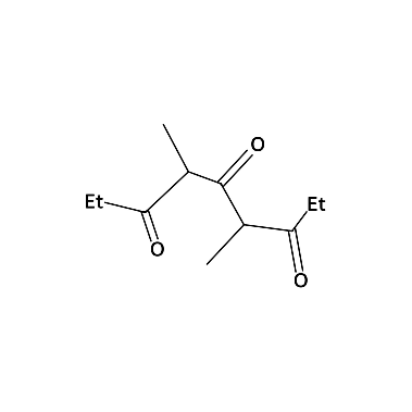 CCC(=O)C(C)C(=O)C(C)C(=O)CC